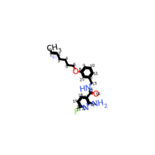 C/C=C/CCCCOc1cccc(CNC(=O)c2ccc(F)nc2N)c1